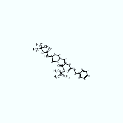 CC(C)(C)OC(=O)NC1CCC(C=C(CC(=O)OCc2ccccc2)C(=O)OC(C)(C)C)CC1